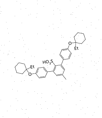 CCC1(Oc2ccc(-c3cc(C)cc(-c4ccc(OC5(CC)CCCCC5)cc4)c3S(=O)(=O)O)cc2)CCCCC1